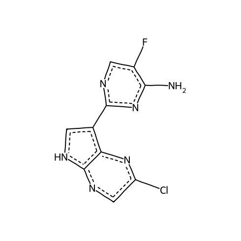 Nc1nc(-c2c[nH]c3ncc(Cl)nc23)ncc1F